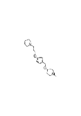 CN1CCC(OCc2ccc(OCCCN3CCCCC3)cc2)CC1